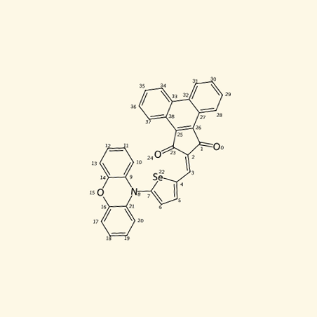 O=C1C(=Cc2ccc(N3c4ccccc4Oc4ccccc43)[se]2)C(=O)c2c1c1ccccc1c1ccccc21